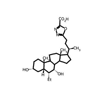 CC[C@H]1[C@@H](O)C2C3CCC([C@H](C)CCc4nnc(C(=O)O)o4)[C@@]3(C)CCC2[C@@]2(C)CC[C@@H](O)C[C@@H]12